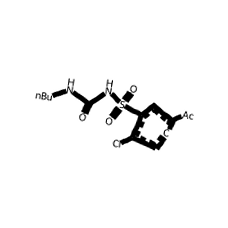 CCCCNC(=O)NS(=O)(=O)c1cc(C(C)=O)ccc1Cl